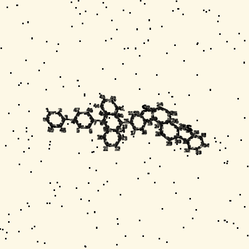 c1ccc(-c2ccc(-c3c4ccccc4c(-c4ccc5c(c4)sc4ccc6c(ccc7c8ccccc8sc76)c45)c4ccccc34)cc2)cc1